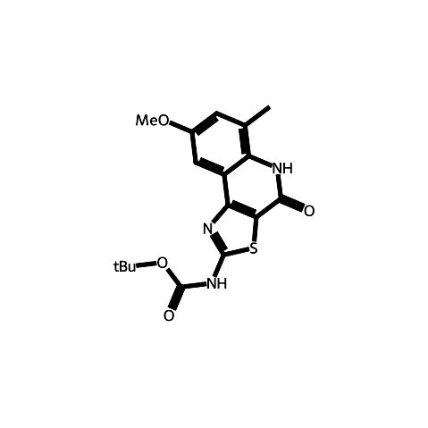 COc1cc(C)c2[nH]c(=O)c3sc(NC(=O)OC(C)(C)C)nc3c2c1